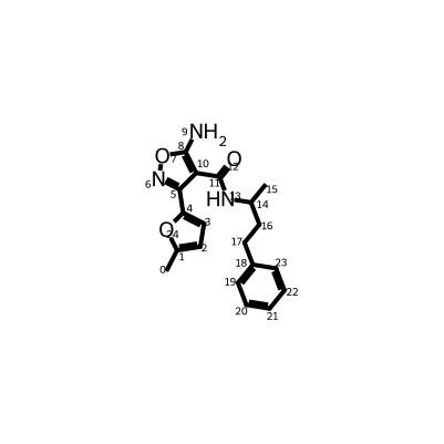 Cc1ccc(-c2noc(N)c2C(=O)NC(C)CCc2ccccc2)o1